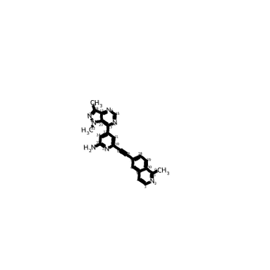 Cc1nccc2cc(C#Cc3cc(-c4ncnc5c(C)nn(C)c45)cc(N)n3)ccc12